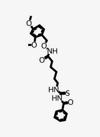 COc1ccc(CONC(=O)CCCCCNC(=S)NC(=O)c2ccccc2)c(OC)c1